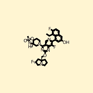 CCc1c(F)ccc2cc(O)cc(-c3ncc4c(N5CCC[C@@](C)(NS(C)(=O)=O)C5)nc(OC[C@@]56CCCN5C[C@H](F)C6)nc4c3F)c12